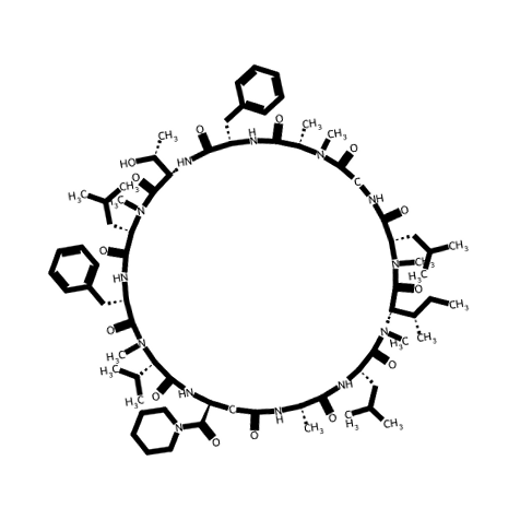 CC[C@H](C)[C@H]1C(=O)N(C)[C@@H](CC(C)C)C(=O)NCC(=O)N(C)[C@@H](C)C(=O)N[C@@H](Cc2ccccc2)C(=O)N[C@@H]([C@@H](C)O)C(=O)N(C)[C@@H](CC(C)C)C(=O)N[C@@H](Cc2ccccc2)C(=O)N(C)[C@@H](C(C)C)C(=O)N[C@H](C(=O)N2CCCCC2)CC(=O)N[C@@H](C)C(=O)N[C@@H](CC(C)C)C(=O)N1C